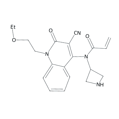 C=CC(=O)N(c1c(C#N)c(=O)n(CCOCC)c2ccccc12)C1CNC1